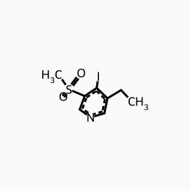 CCc1cncc(S(C)(=O)=O)c1I